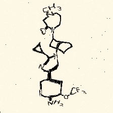 CN1CCN(C2CC3(n4cc(-c5cnc(N)c(OC(F)(F)F)c5)nc4C4CC4)CCC23)C(=O)C1